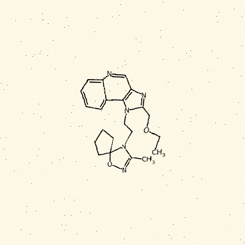 CCOCc1nc2cnc3ccccc3c2n1CCN1C(C)=NOC12CCCC2